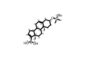 CC(C)(C)[Si](C)(C)O[C@H]1CC[C@@]2(C)C(=CCC3C2CC[C@]2(C)C(B(O)O)=CCC32)C1